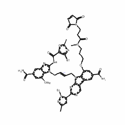 CCc1nc(C)oc1C(=O)Nc1nc2cc(C(N)=O)cc(OC)c2n1C/C=C/Cn1c2nc(-c3cc(C)nn3CC)ncc2c2cc(C(N)=O)cc(OCCCN(C)C(=O)CCN3C(=O)C=CC3=O)c21